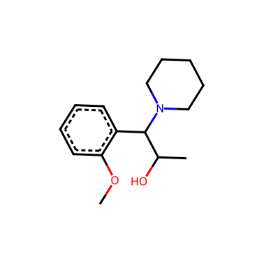 COc1ccccc1C(C(C)O)N1CCCCC1